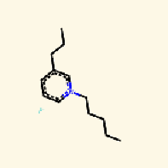 CCCCC[n+]1cccc(CCC)c1.[F-]